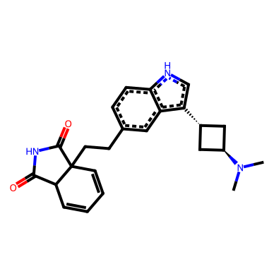 CN(C)[C@H]1C[C@H](c2c[nH]c3ccc(CCC45C=CC=CC4C(=O)NC5=O)cc32)C1